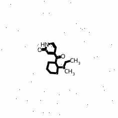 CCC(C)C1CCCCC1C(=O)c1cc[nH]c(=O)c1